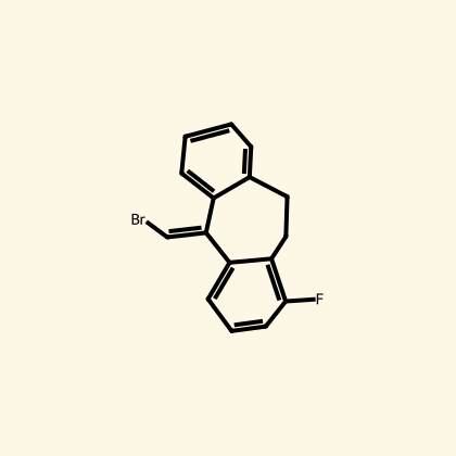 Fc1cccc2c1CCc1ccccc1/C2=C\Br